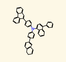 C1=Cc2cc(-c3ccc(N(c4ccc(-c5cc6ccccc6c6ccccc56)cc4)c4ccc(-c5ccccc5)c5ccccc45)cc3)ccc2CC1